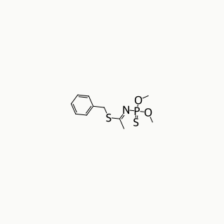 COP(=S)(N=C(C)SCc1ccccc1)OC